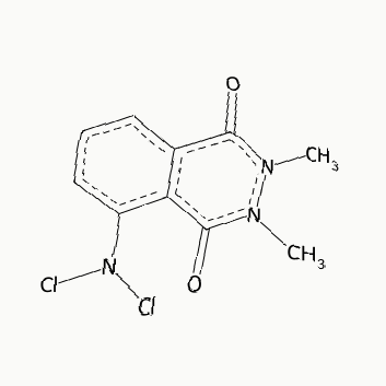 Cn1c(=O)c2cccc(N(Cl)Cl)c2c(=O)n1C